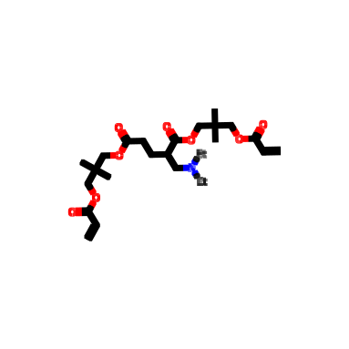 C=CC(=O)OCC(C)(C)COC(=O)CCC(CN(CC)CC)C(=O)OCC(C)(C)COC(=O)C=C